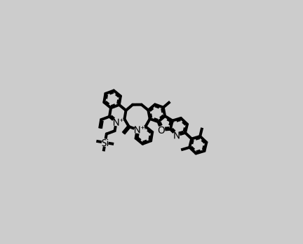 C=CC1=[N+](CC[Si](C)(C)C)C2C(=C)[n+]3ccccc3-c3c(cc(C)c4c3oc3nc(-c5c(C)cccc5C)ccc34)CCC2c2ccccc21